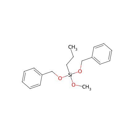 CCC[Si](OC)(OCc1ccccc1)OCc1ccccc1